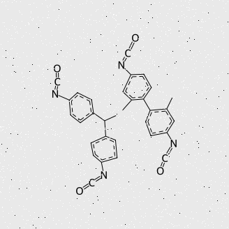 CC(c1ccc(N=C=O)cc1)c1ccc(N=C=O)cc1.Cc1cc(N=C=O)ccc1-c1ccc(N=C=O)cc1C